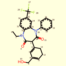 CCN1C(=O)C(C2=CC(CO)=CCC2)C(=O)N(c2ccccc2)c2cc(C(F)(F)F)ccc21